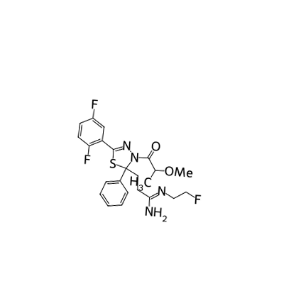 COC(C)C(=O)N1N=C(c2cc(F)ccc2F)SC1(CCC(N)=NCCF)c1ccccc1